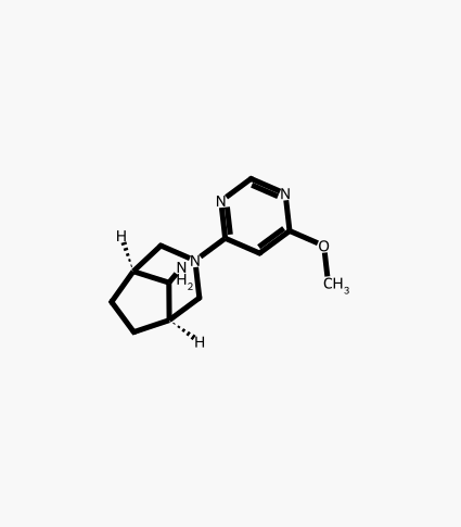 COc1cc(N2C[C@H]3CC[C@@H](C2)C3N)ncn1